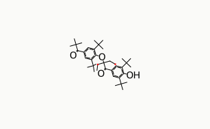 CCC(CC)(Oc1c(C(C)(C)C)cc(C(=O)C(C)(C)C)cc1C(C)(C)C)C(=O)c1cc(C(C)(C)C)c(O)c(C(C)(C)C)c1